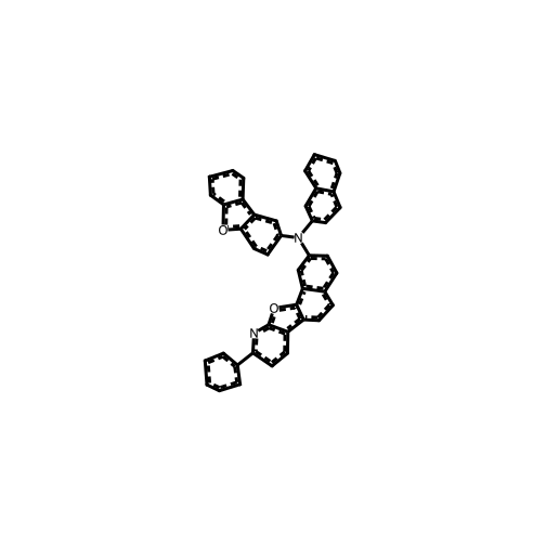 c1ccc(-c2ccc3c(n2)oc2c4cc(N(c5ccc6ccccc6c5)c5ccc6oc7ccccc7c6c5)ccc4ccc32)cc1